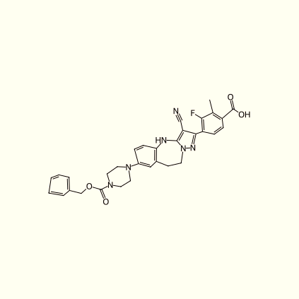 Cc1c(C(=O)O)ccc(-c2nn3c(c2C#N)Nc2ccc(N4CCN(C(=O)OCc5ccccc5)CC4)cc2CC3)c1F